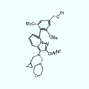 CCOCc1cc(OC)c(-c2cccc3c(N(CC4CCOCC4)CC4CC4)c(OC)nn23)c(OC)c1